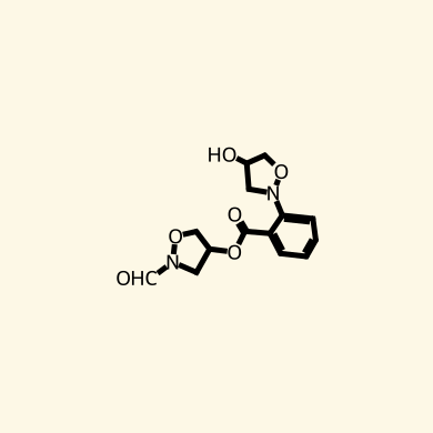 O=CN1CC(OC(=O)c2ccccc2N2CC(O)CO2)CO1